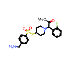 COC(=O)C(c1ccccc1F)N1CCC(SS(=O)(=O)c2ccc(CN)cc2)CC1